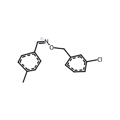 Cc1ccc(/[C]=N\OCc2cccc(Cl)c2)cc1